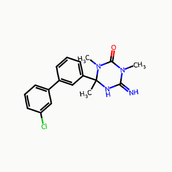 CN1C(=N)NC(C)(c2cccc(-c3cccc(Cl)c3)c2)N(C)C1=O